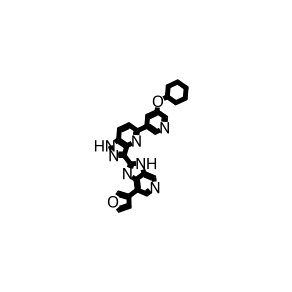 c1cc(-c2cncc3[nH]c(-c4n[nH]c5ccc(-c6cncc(OC7CCCCC7)c6)nc45)nc23)co1